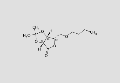 CCCCOC[C@@H]1OC(=O)[C@@H]2OC(C)(C)O[C@H]12